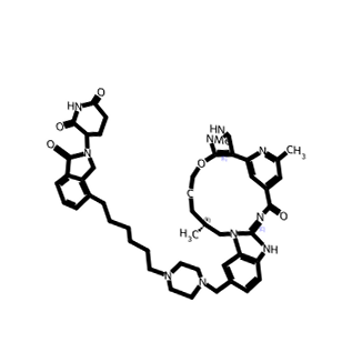 CN/C1=C(\C=N)c2cc(cc(C)n2)C(=O)/N=C2\Nc3ccc(CN4CCN(CCCCCCc5cccc6c5CN(C5CCC(=O)NC5=O)C6=O)CC4)cc3N2C[C@H](C)CCCO1